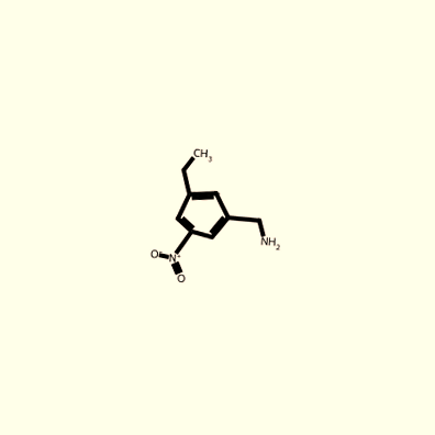 CCc1[c]c(CN)cc([N+](=O)[O-])c1